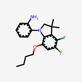 CCCCOc1cc(F)c(F)c2c1N(c1ccccc1N)CC2(C)C